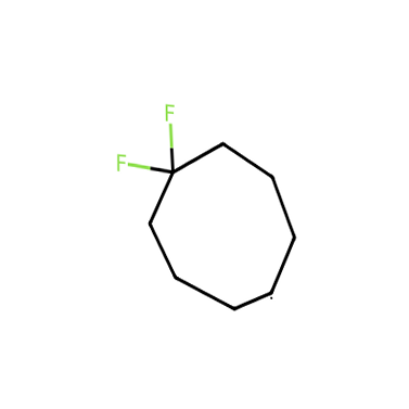 FC1(F)CCC[CH]CCC1